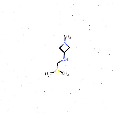 CN1CC(NC[SH](C)C)C1